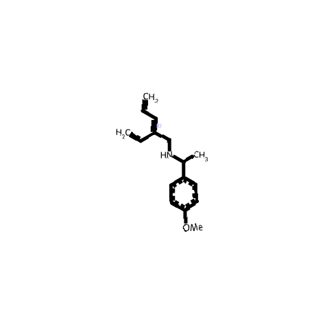 C=C/C=C(\C=C)CNC(C)c1ccc(OC)cc1